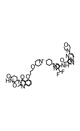 Cc1nc2cccc(OCCCOC3CCN(C[C@H]4CC[C@H](n5cc(NC(=O)c6cnn7ccc(N8CCOCC8)nc67)c(C(F)F)n5)CC4)CC3)c2c(=O)n1C1CCC(=O)NC1=O